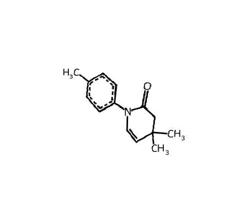 Cc1ccc(N2C=CC(C)(C)CC2=O)cc1